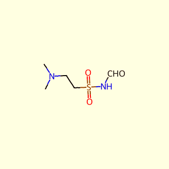 CN(C)CCS(=O)(=O)NC=O